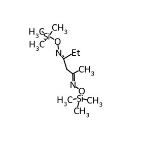 CC/C(C/C(C)=N/O[Si](C)(C)C)=N\O[Si](C)(C)C